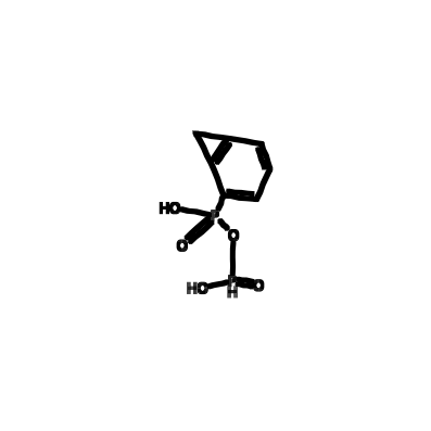 O=[PH](O)OP(=O)(O)c1cccc2c1C2